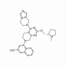 CN1CCC[C@H]1COc1nc2c(c(N3CCn4cncc4C3)n1)CCN(c1cc(O)cc3ccccc13)C2